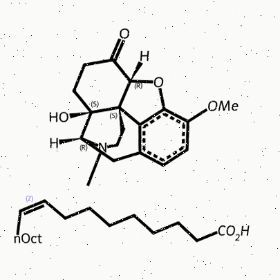 CCCCCCCC/C=C\CCCCCCCC(=O)O.COc1ccc2c3c1O[C@H]1C(=O)CC[C@@]4(O)[C@@H](C2)N(C)CC[C@]314